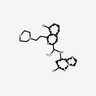 CC(Nc1cc(Cl)nn2ccnc12)c1cc2cccc(Cl)c2c(CCN2CCOCC2)n1